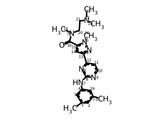 Cc1cc(C)cc(Nc2nccc(-c3cc(C(=O)N(C)CCN(C)C)n(C)n3)n2)c1